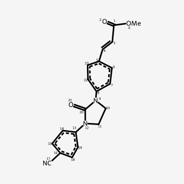 COC(=O)C=Cc1ccc(N2CCN(c3ccc(C#N)cc3)C2=O)cc1